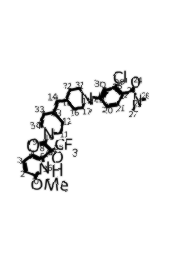 COc1cccc([C@@](O)(C(=O)N2CCC(CC3CCN(c4ccc(C(=O)N(C)C)c(Cl)c4)CC3)CC2)C(F)(F)F)n1